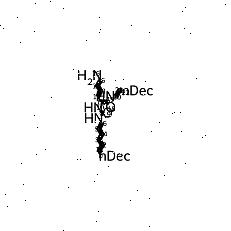 CCCCCCCCCCCCCCCCNC(=O)N[C@@H](CCCCN)C(=O)NCCCCCCCCCCCC